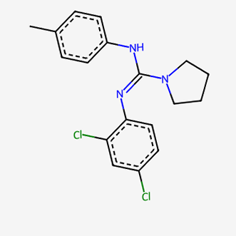 Cc1ccc(NC(=Nc2ccc(Cl)cc2Cl)N2CCCC2)cc1